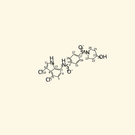 [O-][S+](Nc1ccc(Cl)c2c(Cl)c[nH]c12)c1ccc([S+]([O-])N2CCC(O)CC2)cc1